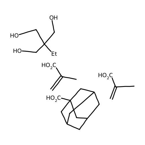 C=C(C)C(=O)O.C=C(C)C(=O)O.CCC(CO)(CO)CO.O=C(O)C12CC3CC(CC(C3)C1)C2